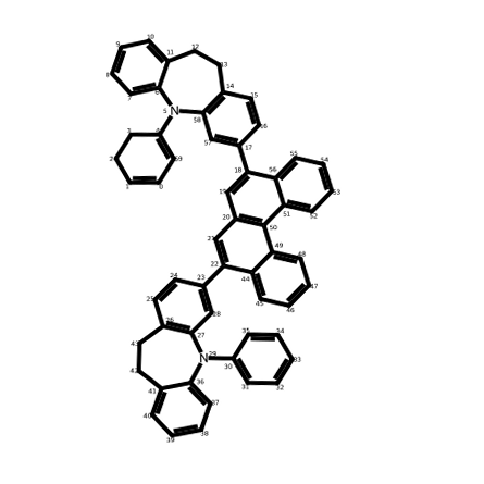 C1=CCCC(N2c3ccccc3CCc3ccc(-c4cc5cc(-c6ccc7c(c6)N(c6ccccc6)c6ccccc6CC7)c6ccccc6c5c5ccccc45)cc32)=C1